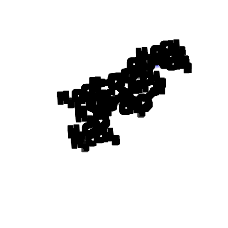 C=C/C(=C\CC[C@H](C)[C@H]1C(C)C=CC1NC1=C(c2cccc(C#N)c2)C(C)C([C@H](C)Cn2c3ccc(C(C)(C)C)cc3c3cc(C(C)(C)C)ccc32)=C1c1cccc(C#N)c1)C(C)(C)C